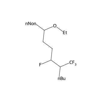 CCCCCCCCCC(CCC(F)C(CCCC)C(F)(F)F)OCC